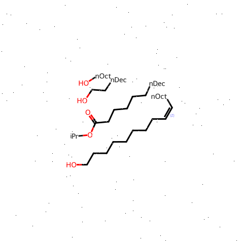 CCCCCCCC/C=C\CCCCCCCCO.CCCCCCCCCCCCCCCC(=O)OC(C)C.CCCCCCCCCCCCO.CCCCCCCCO